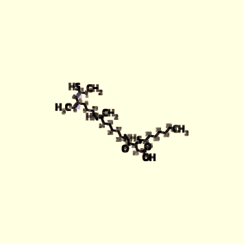 C=C/C(S)=C\C(=C/C)CCCNC(=C)CCCCCNC(=O)C(CC(=O)O)SCCCCCCC